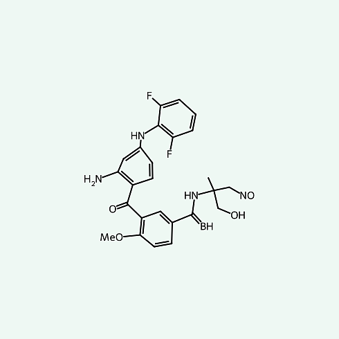 B=C(NC(C)(CO)CN=O)c1ccc(OC)c(C(=O)c2ccc(Nc3c(F)cccc3F)cc2N)c1